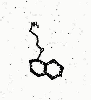 NCCCOc1cccc2cnccc12